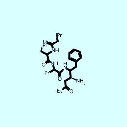 CCC(=O)C[C@H](N)C(Cc1ccccc1)NC(=O)C(NC(=O)C(CC(C)C)NC(=O)CC(C)C)C(C)C